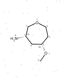 CO[C@H]1CCOC[C@@H](N)C1